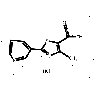 CC(=O)c1sc(-c2cccnc2)nc1C.Cl